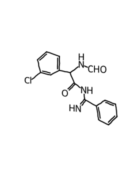 N=C(NC(=O)C(NC=O)c1cccc(Cl)c1)c1ccccc1